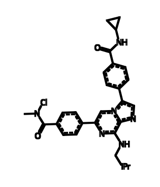 CC(C)CNc1nc(-c2ccc(C(=O)N(C)Cl)cc2)cn2c(-c3ccc(C(=O)NC4CC4)cc3)cnc12